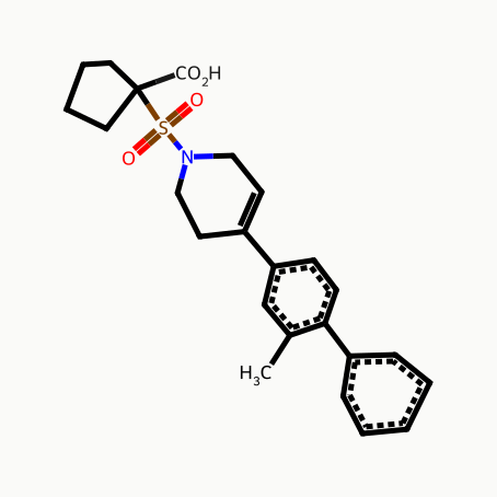 Cc1cc(C2=CCN(S(=O)(=O)C3(C(=O)O)CCCC3)CC2)ccc1-c1ccccc1